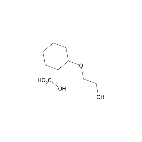 O=C(O)O.OCCOC1CCCCC1